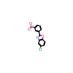 O=[N+]([O-])c1cccc(-c2nc3cc(Cl)ccc3o2)c1